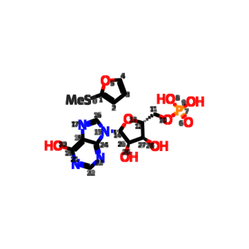 CSc1ccco1.O=P(O)(O)OC[C@H]1O[C@@H](n2cnc3c(O)ncnc32)[C@H](O)[C@@H]1O